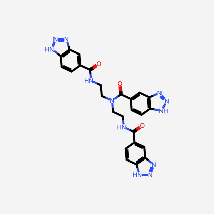 O=C(NCCN(CCNC(=O)c1ccc2[nH]nnc2c1)C(=O)c1ccc2[nH]nnc2c1)c1ccc2[nH]nnc2c1